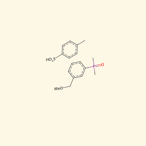 COCc1cccc(P(C)(C)=O)c1.Cc1ccc(S(=O)(=O)O)cc1